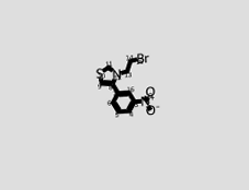 O=[N+]([O-])c1cccc(C2=CS[CH]N2CCBr)c1